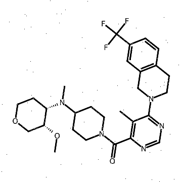 CO[C@@H]1COCC[C@@H]1N(C)C1CCN(C(=O)c2ncnc(N3CCc4ccc(C(F)(F)F)cc4C3)c2C)CC1